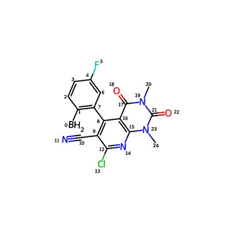 Bc1ccc(F)cc1-c1c(C#N)c(Cl)nc2c1c(=O)n(C)c(=O)n2C